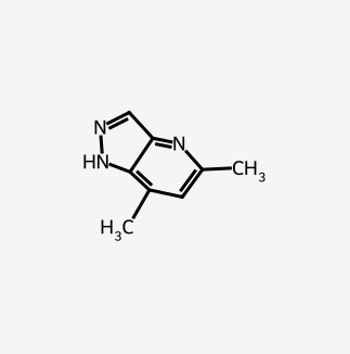 Cc1cc(C)c2[nH]ncc2n1